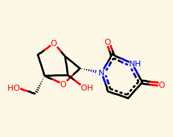 O=c1ccn([C@@H]2O[C@@]3(CO)COC2C3O)c(=O)[nH]1